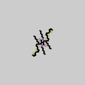 CCCCCCN1C(=O)C2=C(C3(CCCCCC)CC=C(c4ccc(-c5cccs5)s4)S3)N(CCCCCC)C(=O)C2=C1C1(CCCCCC)CC=C(c2ccc(-c3cccs3)s2)S1